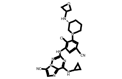 N#Cc1cc(Nc2nc(NC3CC3)c3ncc(C#N)n3n2)c(Cl)c(N2CCC[C@@H](NC3COC3)C2)c1